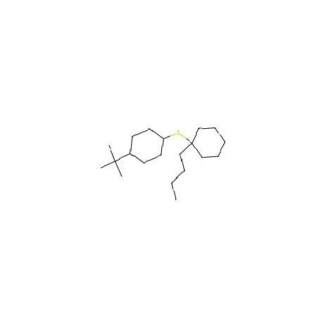 CCCCC1(SC2CCC(C(C)(C)C)CC2)CCCCC1